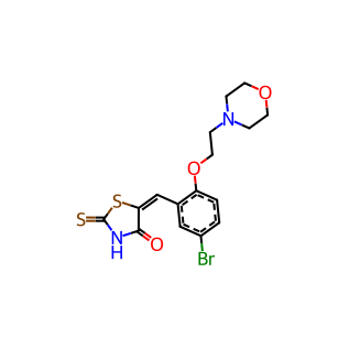 O=C1NC(=S)S/C1=C/c1cc(Br)ccc1OCCN1CCOCC1